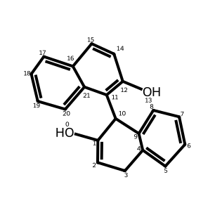 OC1=CCc2ccccc2C1c1c(O)ccc2ccccc12